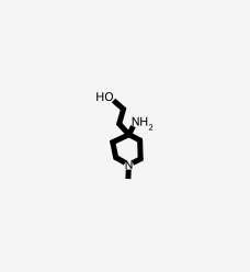 CN1CCC(N)(CCO)CC1